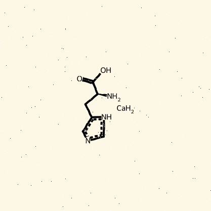 N[C@@H](Cc1cnc[nH]1)C(=O)O.[CaH2]